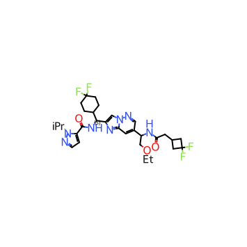 CCOCC(NC(=O)CC1CC(F)(F)C1)c1cnn2cc([C@@H](NC(=O)c3ccnn3C(C)C)C3CCC(F)(F)CC3)nc2c1